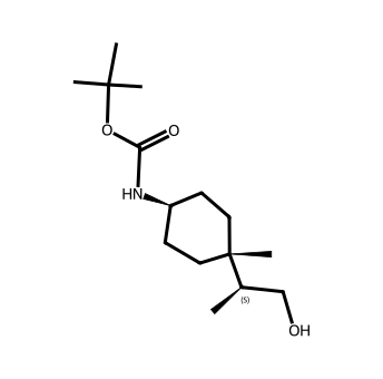 C[C@H](CO)[C@]1(C)CC[C@@H](NC(=O)OC(C)(C)C)CC1